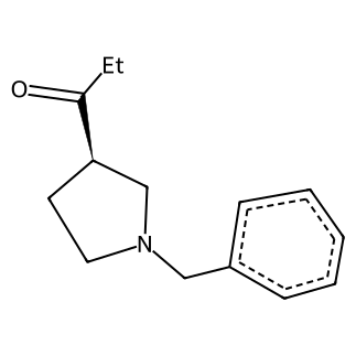 CCC(=O)[C@@H]1CCN(Cc2ccccc2)C1